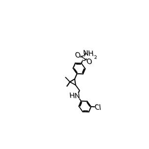 CC1(C)C(CNc2cccc(Cl)c2)C1c1ccc(S(N)(=O)=O)cc1